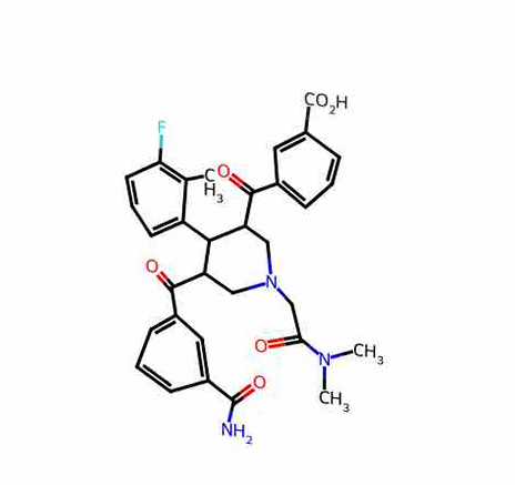 Cc1c(F)cccc1C1C(C(=O)c2cccc(C(N)=O)c2)CN(CC(=O)N(C)C)CC1C(=O)c1cccc(C(=O)O)c1